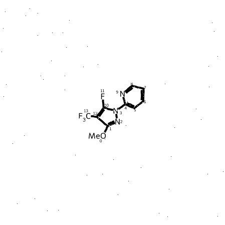 COc1nn(-c2ccccn2)c(F)c1C(F)(F)F